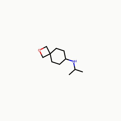 CC(C)NC1CCC2(CC1)COC2